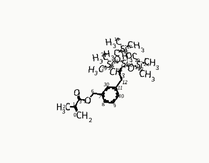 C=C(C)C(=O)OCc1cccc(CC[Si](O[Si](C)(C)C)(O[Si](C)(C)C)O[Si](C)(C)C)c1